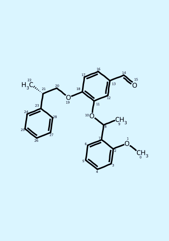 COc1ccccc1C(C)Oc1cc(C=O)ccc1OC[C@@H](C)c1ccccc1